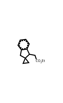 CCOC(=O)CC1c2ccccc2CC12CC2